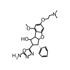 COc1cc(OCCN(C)C)cc2c1C1C(O)C(c3nnc(N)o3)[C@@H](c3ccccc3)C1O2